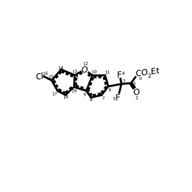 CCOC(=O)C(=O)C(F)(F)c1ccc2c(c1)oc1cc(Cl)ccc12